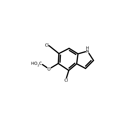 O=C(O)Oc1c(Cl)cc2[nH]ccc2c1Cl